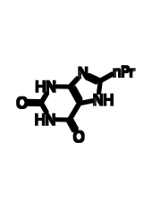 CCCc1nc2[nH]c(=O)[nH]c(=O)c2[nH]1